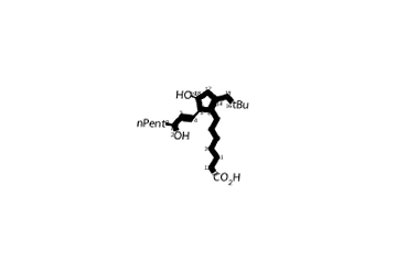 CCCCC[C@H](O)/C=C/[C@@H]1C(CCCCCCC(=O)O)=C(CC(C)(C)C)C[C@H]1O